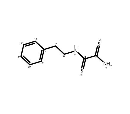 NC(=S)C(=S)NCCc1ccccc1